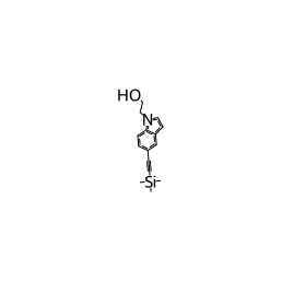 C[Si](C)(C)C#Cc1ccc2c(ccn2CCO)c1